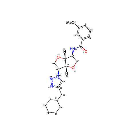 COc1cccc(C(=O)N[C@H]2CO[C@H]3[C@@H]2OC[C@@H]3n2cc(CC3CCCCC3)nn2)c1